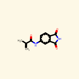 C=C(C)C(=O)Nc1ccc2c(c1)C(=O)NC2=O